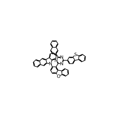 c1ccc2cc(-c3nc(-c4ccc5c(c4)sc4ccccc45)nc(-c4c(-n5c6ccccc6c6cc7ccccc7cc65)ccc5oc6ccccc6c45)n3)ccc2c1